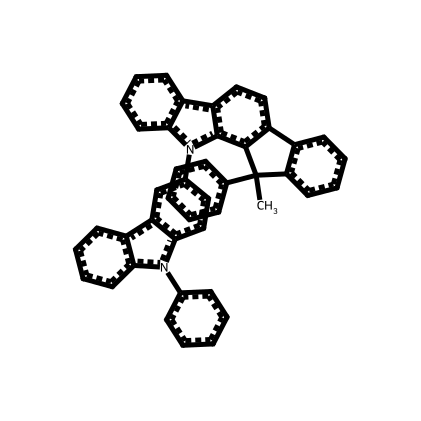 CC1(c2ccccc2)c2ccccc2-c2ccc3c4ccccc4n(-c4ccc5c(c4)c4ccccc4n5-c4ccccc4)c3c21